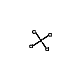 [Cl][V-]([Cl])([Cl])[Cl]